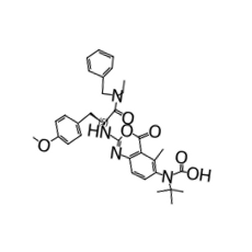 CCN(Cc1ccccc1)C(=O)[C@H](Cc1ccc(OC)cc1)Nc1nc2ccc(N(C(=O)O)C(C)(C)C)c(C)c2c(=O)o1